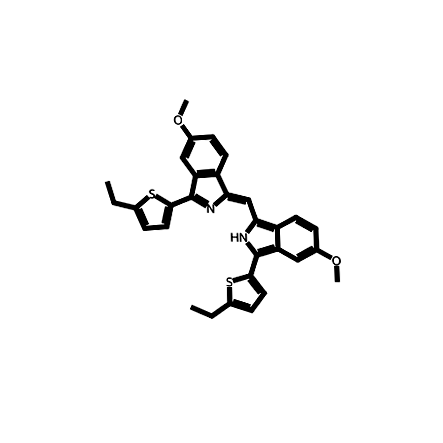 CCc1ccc(C2=N/C(=C\c3[nH]c(-c4ccc(CC)s4)c4cc(OC)ccc34)c3ccc(OC)cc32)s1